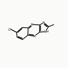 Cc1nc2nc3cc(Cl)ccc3nc2[nH]1